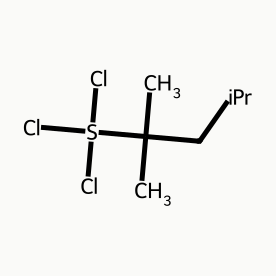 CC(C)CC(C)(C)S(Cl)(Cl)Cl